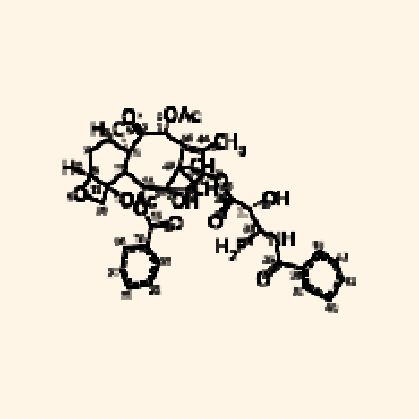 CC(=O)O[C@H]1C(=O)[C@]2(C)CC[C@H]3OC[C@@]3(OC(C)=O)C2[C@H](OC(=O)c2ccccc2)[C@]2(O)C[C@H](OC(=O)[C@H](O)[C@H](P)NC(=O)c3ccccc3)C(C)=C1C2(C)C